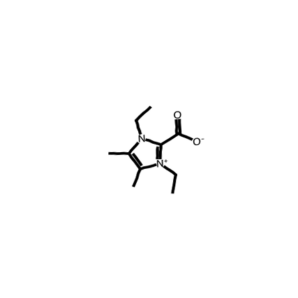 CCn1c(C)c(C)[n+](CC)c1C(=O)[O-]